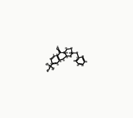 O=C1c2ccc(C(F)(F)F)cc2CC2CN(Cc3ccccc3)CCN12